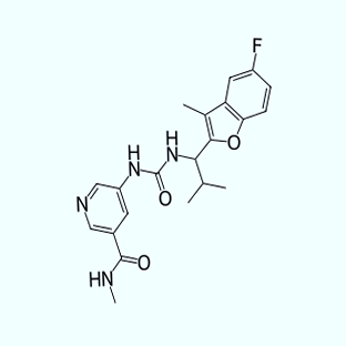 CNC(=O)c1cncc(NC(=O)NC(c2oc3ccc(F)cc3c2C)C(C)C)c1